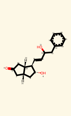 O=C1C[C@H]2C[C@@H](O)[C@H](C=CC(O)Cc3ccccc3)[C@H]2C1